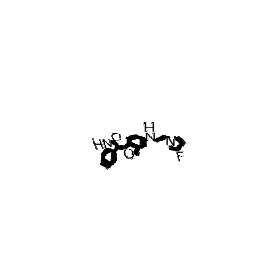 O=C1Nc2ccccc2/C1=C1\OCc2cc(NCCN3CCC(F)C3)ccc21